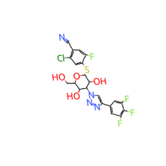 N#Cc1cc(F)c(S[C@H]2OC(CO)[C@H](O)C(n3cc(-c4cc(F)c(F)c(F)c4)nn3)C2O)cc1Cl